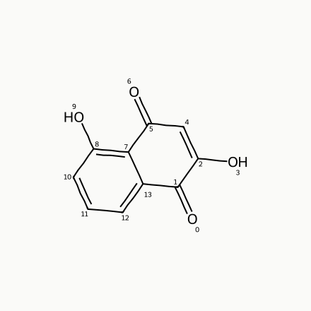 O=C1C(O)=CC(=O)c2c(O)cccc21